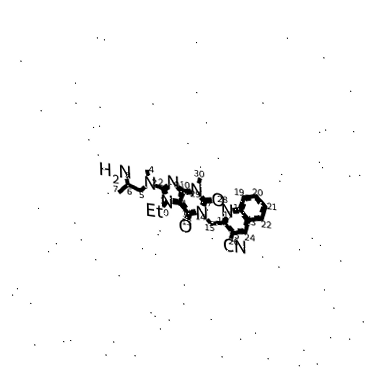 CCn1c(N(C)CC(C)N)nc2c1c(=O)n(Cc1nc3ccccc3cc1C#N)c(=O)n2C